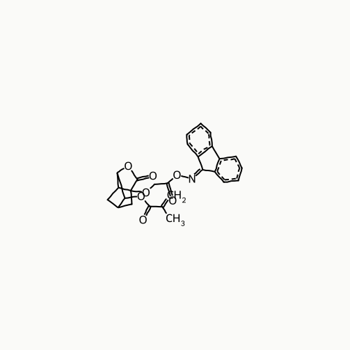 C=C(C)C(=O)OC1C2CC3C1OC(=O)C3(OCC(=O)ON=C1c3ccccc3-c3ccccc31)C2